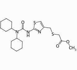 COC(=O)CSCc1csc(NC(=O)N(C2CCCCC2)C2CCCCC2)n1